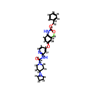 O=C(Nc1ccc(Oc2ccnc(NC(=O)N3CCC(N4CCCC4)CC3)c2)cc1F)OCc1ccccc1